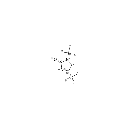 CC(C)(C)[C@H]1CN(C(C)(C)C)C(=O)N1